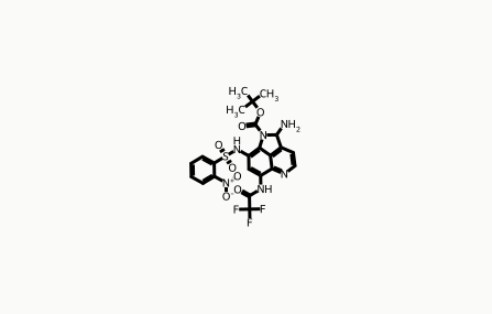 CC(C)(C)OC(=O)N1c2c(NS(=O)(=O)c3ccccc3[N+](=O)[O-])cc(NC(=O)C(F)(F)F)c3nccc(c23)C1N